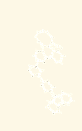 C=C1/C=C\C=C/C/N=C2/c3ccc(-c4cccc(-c5ccc(-n6c7ccccc7c7ccccc76)cc5)c4)cc3-c3ccccc3N12